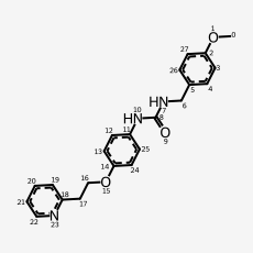 COc1ccc(CNC(=O)Nc2ccc(OCCc3ccccn3)cc2)cc1